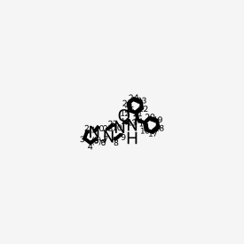 CN1CCC[C@H]1CN1CCN(C(=O)NC(c2ccccc2)c2ccccc2)CC1